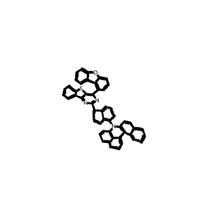 c1ccc2c3c(ccc2c1)N(c1cccc2c(-c4nc(-c5cccc6oc7ccccc7c56)c5sc6ccccc6c5n4)cccc12)c1cccc2cccc-3c12